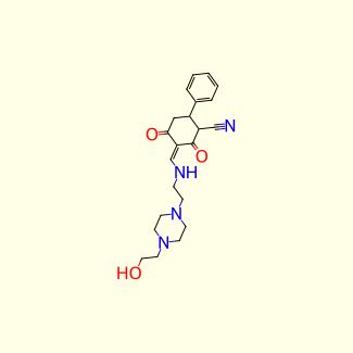 N#CC1C(=O)/C(=C\NCCN2CCN(CCO)CC2)C(=O)CC1c1ccccc1